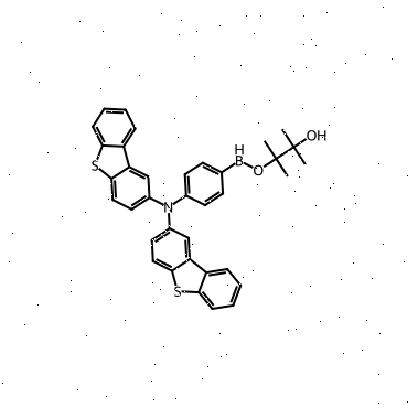 CC(C)(O)C(C)(C)OBc1ccc(N(c2ccc3sc4ccccc4c3c2)c2ccc3sc4ccccc4c3c2)cc1